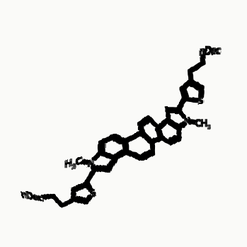 CCCCCCCCCCCCc1csc(-c2cc3c4ccc5c(ccc6c5ccc5c6cc(-c6cc(CCCCCCCCCCCC)cs6)n5C)c4ccc3n2C)c1